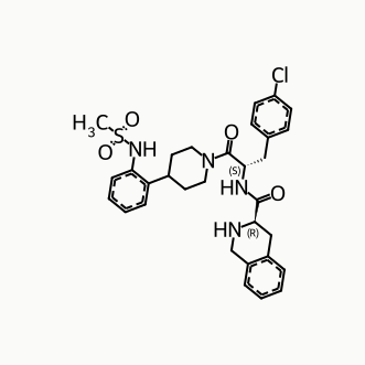 CS(=O)(=O)Nc1ccccc1C1CCN(C(=O)[C@H](Cc2ccc(Cl)cc2)NC(=O)[C@H]2Cc3ccccc3CN2)CC1